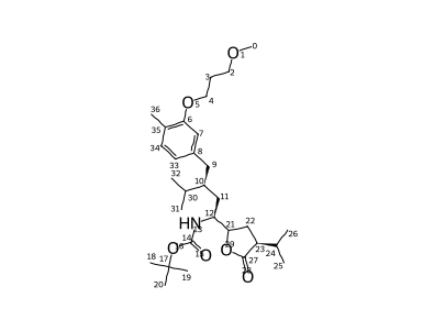 COCCCOc1cc(C[C@@H](C[C@H](NC(=O)OC(C)(C)C)C2C[C@@H](C(C)C)C(=O)O2)C(C)C)ccc1C